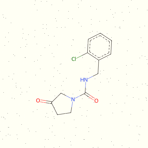 O=C1CCN(C(=O)NCc2ccccc2Cl)C1